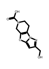 O=C(O)N1CCc2c(oc3cc(CO)nn23)C1